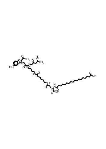 CC(C)CC(=O)CN[C@@H](CCCCNC(=O)CCCCCNC(=O)CC[C@H](NC(=O)CCCCCCCCCCCCCCCCC(=O)O)C(=O)O)C(=O)CN[C@@H](Cc1ccc(O)cc1)C(N)=O